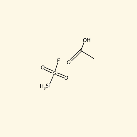 CC(=O)O.O=S(=O)(F)[SiH3]